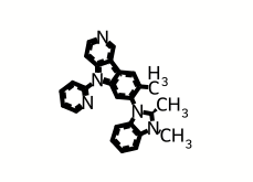 Cc1cc2c3cnccc3n(-c3ccccn3)c2cc1N1c2ccccc2N(C)[C@@H]1C